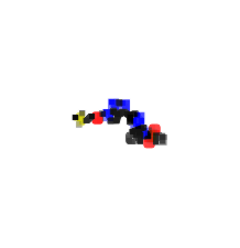 CCS(=O)(=O)N1CC(CC#N)(n2cc(-c3ncnc4c3ccn4COCCS(C)(C)C)cn2)C1